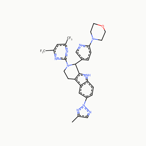 Cc1cnn(-c2ccc3[nH]c4c(c3c2)CCN(c2nc(C(F)(F)F)cc(C(F)(F)F)n2)C4c2ccc(N3CCOCC3)nc2)n1